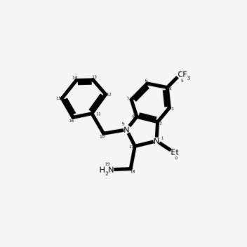 CCN1c2cc(C(F)(F)F)ccc2N(Cc2ccccc2)C1CN